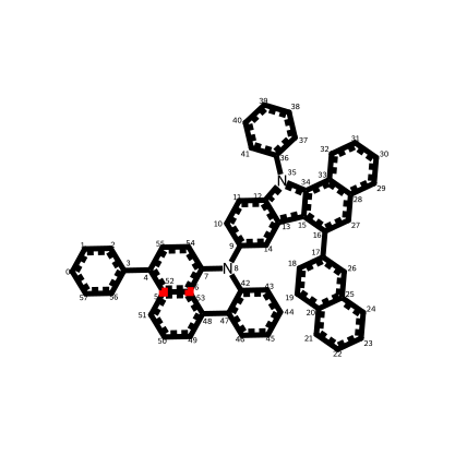 c1ccc(-c2ccc(N(c3ccc4c(c3)c3c(-c5ccc6ccccc6c5)cc5ccccc5c3n4-c3ccccc3)c3ccccc3-c3ccccc3)cc2)cc1